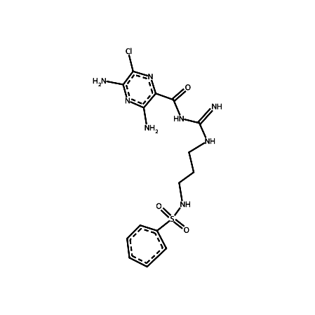 N=C(NCCCNS(=O)(=O)c1ccccc1)NC(=O)c1nc(Cl)c(N)nc1N